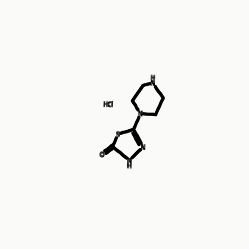 Cl.O=c1[nH]nc(N2CCNCC2)s1